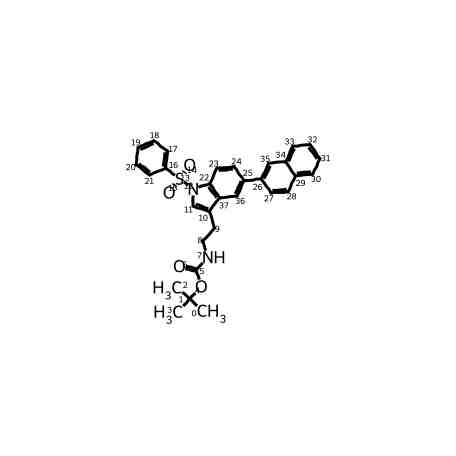 CC(C)(C)OC(=O)NCCc1cn(S(=O)(=O)c2ccccc2)c2ccc(-c3ccc4ccccc4c3)cc12